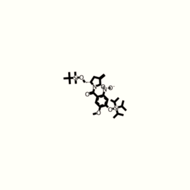 C=C1C[C@@H](CO[Si](C)(C)C(C)(C)C)N(C(=O)c2cc(OC)c(O[Si](C(C)C)(C(C)C)C(C)C)cc2[N+](=O)[O-])C1